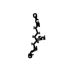 O=C=NCCCCCN=C=O.[Sn]